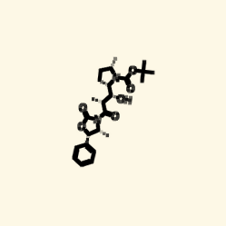 C[C@@H]1[C@H](c2ccccc2)OC(=O)N1C(=O)[C@H](C)[C@@H](O)[C@@H]1CC[C@H](C)N1C(=O)OC(C)(C)C